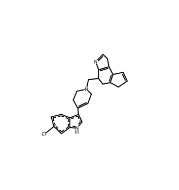 Clc1ccc2c(C3=CCN(CC4CC5=C(C=CC5)C5=C4N=CC5)CC3)c[nH]c2c1